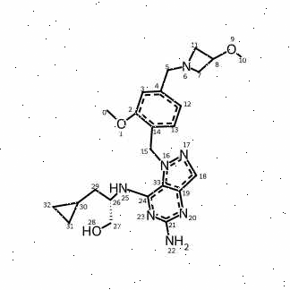 COc1cc(CN2CC(OC)C2)ccc1Cn1ncc2nc(N)nc(N[C@H](CO)CC3CC3)c21